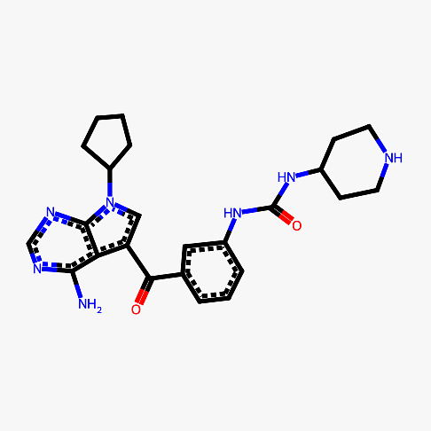 Nc1ncnc2c1c(C(=O)c1cccc(NC(=O)NC3CCNCC3)c1)cn2C1CCCC1